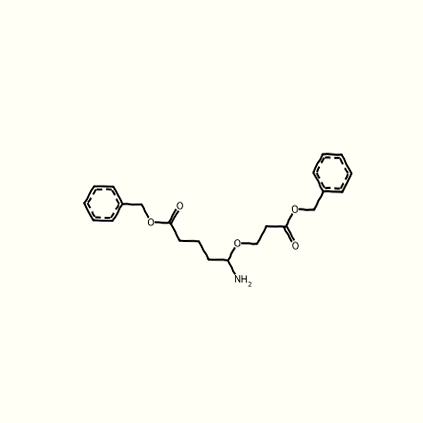 NC(CCCC(=O)OCc1ccccc1)OCCC(=O)OCc1ccccc1